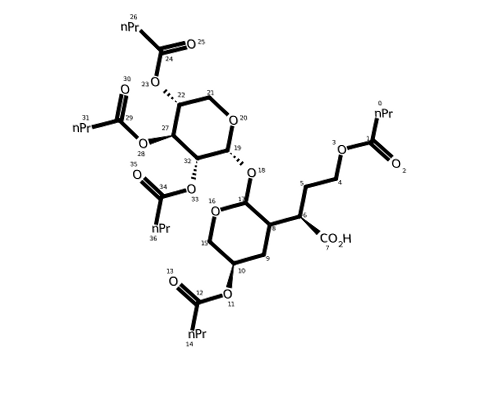 CCCC(=O)OCC[C@@H](C(=O)O)C1C[C@@H](OC(=O)CCC)COC1O[C@H]1OC[C@@H](OC(=O)CCC)[C@H](OC(=O)CCC)[C@H]1OC(=O)CCC